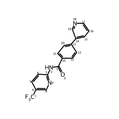 O=C(Nc1ccc(C(F)(F)F)cn1)c1ccc(-c2cccnc2)cc1